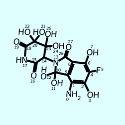 Nc1c(O)c(F)c(O)c2c1C(O)(O)N(C1C(=O)NC(=O)C(O)(O)C1(O)O)C2=O